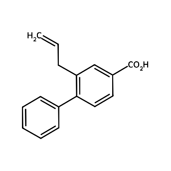 C=CCc1cc(C(=O)O)ccc1-c1ccccc1